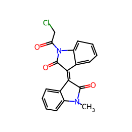 CN1C(=O)/C(=C2/C(=O)N(C(=O)CCl)c3ccccc32)c2ccccc21